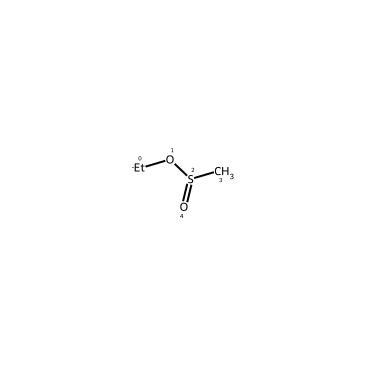 C[CH]OS(C)=O